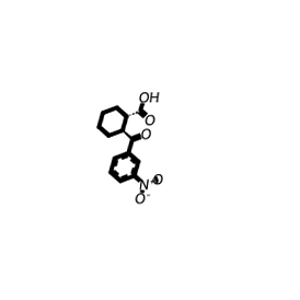 O=C(O)[C@H]1CCCC[C@@H]1C(=O)c1cccc([N+](=O)[O-])c1